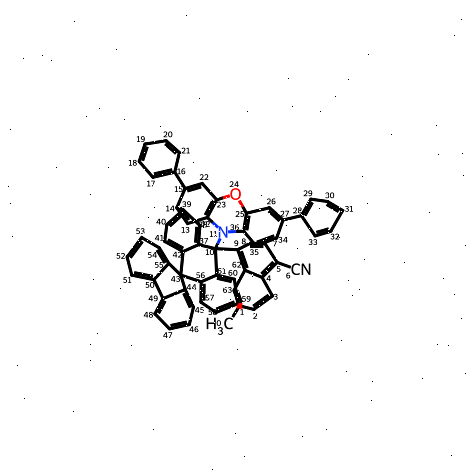 Cc1ccc2c(C#N)ccc(C3(N4c5ccc(-c6ccccc6)cc5Oc5cc(-c6ccccc6)ccc54)c4ccccc4C4(c5ccccc5-c5ccccc54)c4ccccc43)c2c1